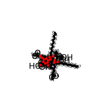 CCCCCCCCCCCCCC(c1cc(C(C)(C)C)c(OP(O)O)cc1C)(c1cc(C(C)(C)C)c(OP(O)O)cc1C)C(CCCCCCCCCCCCC)(c1c(C(C)(C)C)cc(CCC(=O)OC)cc1C(C)(C)C)C(C)c1c(C(C)(C)C)cc(CCC(=O)OC)cc1C(C)(C)C